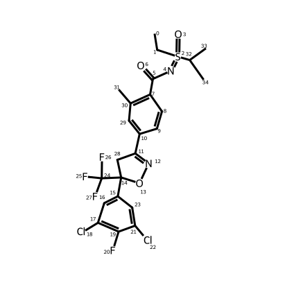 CCS(=O)(=NC(=O)c1ccc(C2=NOC(c3cc(Cl)c(F)c(Cl)c3)(C(F)(F)F)C2)cc1C)C(C)C